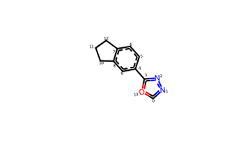 c1nnc(-c2ccc3c(c2)CCC3)o1